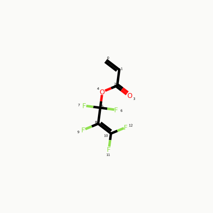 C=CC(=O)OC(F)(F)C(F)=C(F)F